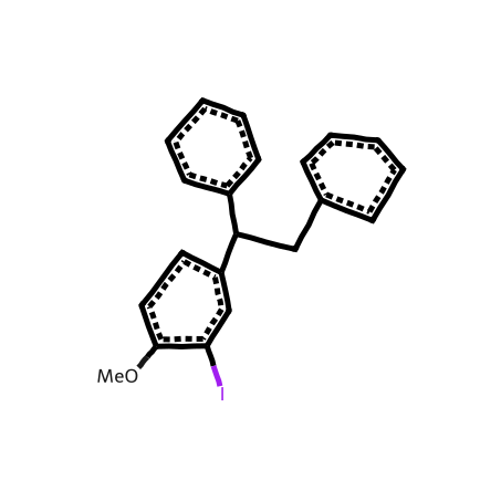 COc1ccc(C(Cc2ccccc2)c2ccccc2)cc1I